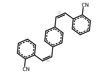 N#Cc1ccccc1/C=C\c1ccc(/C=C\c2ccccc2C#N)cc1